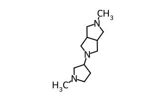 CN1CC2CN(C3CCN(C)C3)CC2C1